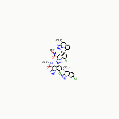 CC(C)CONC(=O)c1cc2cccc(Cl)c2n2nnnc12.CCCONC(=O)c1cc2cccc(Cl)c2n2nnnc12.O=C(O)Nc1cc2ccc(Cl)cc2n2nnnc12.O=C(O)c1cc2cccc(C(F)(F)F)c2n2nnnc12